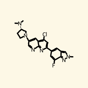 CN(C)[C@H]1CCN(c2cnc3nc(-c4cc(F)c5nn(C)cc5c4)cc(Cl)c3c2)C1